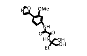 CCC(CO)(CO)NC(=O)C(=O)Nc1ccc(-c2cnco2)c(OC)c1